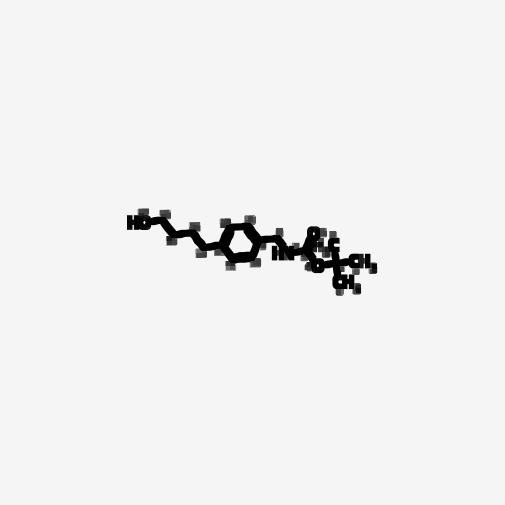 CC(C)(C)OC(=O)NCc1ccc(CCCCO)cc1